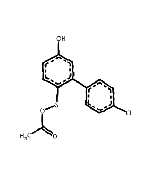 CC(=O)OSc1ccc(O)cc1-c1ccc(Cl)cc1